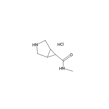 CNC(=O)C1C2CNCC21.Cl